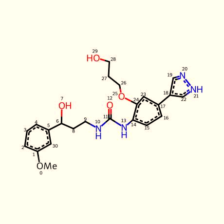 COc1cccc(C(O)CCNC(=O)Nc2ccc(-c3cn[nH]c3)cc2OCCCO)c1